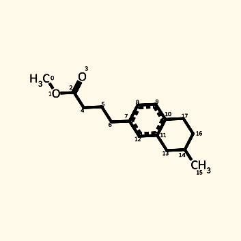 COC(=O)CCCc1ccc2c(c1)CC(C)CC2